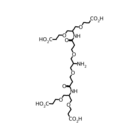 NC(COCCC(=O)NC(COCCC(=O)O)COCCC(=O)O)COCCC(=O)NC(COCCC(=O)O)COCCC(=O)O